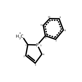 CC1C=CCP1c1ccccc1